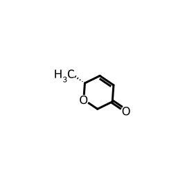 C[C@@H]1C=CC(=O)CO1